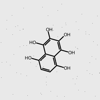 Oc1c(O)c(O)c2c(O)ccc(O)c2c1O